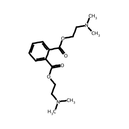 CN(C)CCOC(=O)c1ccccc1C(=O)OCCN(C)C